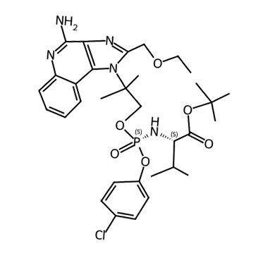 CCOCc1nc2c(N)nc3ccccc3c2n1C(C)(C)CO[P@@](=O)(N[C@H](C(=O)OC(C)(C)C)C(C)C)Oc1ccc(Cl)cc1